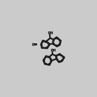 C=O.OC1c2ccccc2-c2ccccc21.OC1c2ccccc2-c2ccccc21